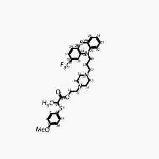 COc1ccc(SC(C)C(=O)OCCN2CCN(CCCN3c4ccccc4Sc4ccc(C(F)(F)F)cc43)CC2)cc1